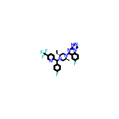 CC[C@@H]1CN(c2nc3nncn3c3ccc(F)cc23)[C@@H](C)CN1C(c1ccc(F)cc1)c1ccc(C(F)(F)F)cn1